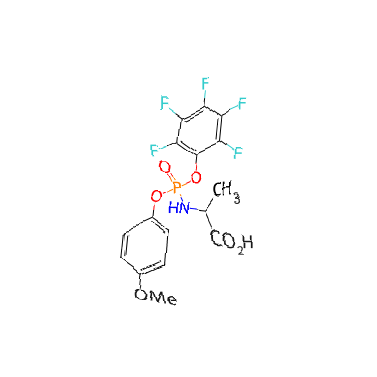 COc1ccc(OP(=O)(NC(C)C(=O)O)Oc2c(F)c(F)c(F)c(F)c2F)cc1